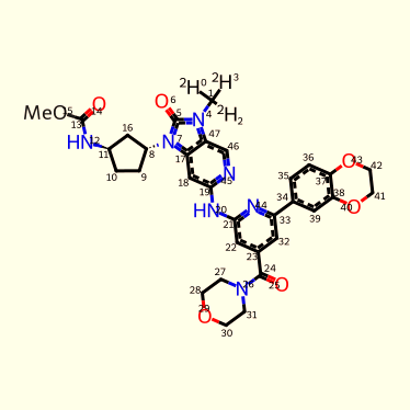 [2H]C([2H])([2H])n1c(=O)n([C@@H]2CC[C@@H](NC(=O)OC)C2)c2cc(Nc3cc(C(=O)N4CCOCC4)cc(-c4ccc5c(c4)OCCO5)n3)ncc21